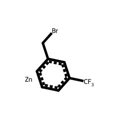 FC(F)(F)c1cccc(CBr)c1.[Zn]